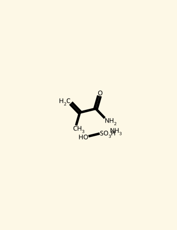 C=C(C)C(N)=O.N.O=S(=O)(O)O